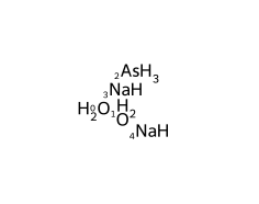 O.O.[AsH3].[NaH].[NaH]